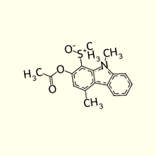 CC(=O)Oc1cc(C)c2c3ccccc3n(C)c2c1[S+](C)[O-]